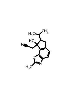 Cc1nc2ccc3c(c2o1)C(O)(CC#N)C(C(C)C)C3